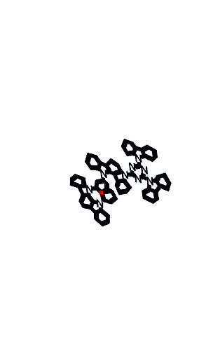 c1ccc(-n2c3ccccc3c3ccc4c5ccccc5n(-c5cccc(-n6c7ccccc7c7ccc8c(c9ccccc9n8-c8nc(-n9c%10ccccc%10c%10ccccc%109)nc(-n9c%10ccccc%10c%10ccccc%109)n8)c76)c5)c4c32)cc1